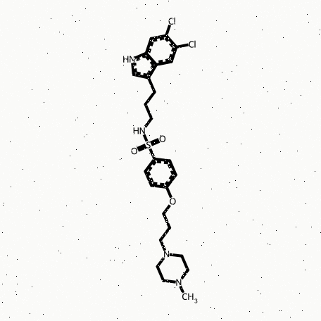 CN1CCN(CCCOc2ccc(S(=O)(=O)NCCCc3c[nH]c4cc(Cl)c(Cl)cc34)cc2)CC1